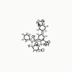 O=C1NC(c2cc(F)ccc2Cl)c2c1cc(-c1ccc3ncnn3c1)cc2S(=O)(=O)Cc1ccccc1